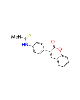 CNC(=S)Nc1ccc(-c2cc3ccccc3oc2=O)cc1